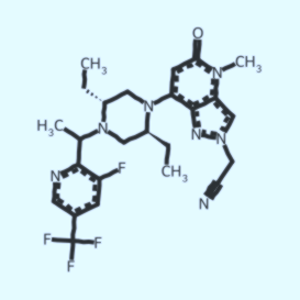 CC[C@H]1CN(C(C)c2ncc(C(F)(F)F)cc2F)[C@H](CC)CN1c1cc(=O)n(C)c2cn(CC#N)nc12